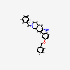 c1ccc(COc2ccc3[nH]c4c(c3c2)CC2CN(Cc3ccccc3)CCC2C4)cc1